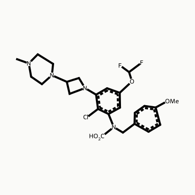 COc1ccc(CN(C(=O)O)c2cc(OC(F)F)cc(N3CC(N4CCN(C)CC4)C3)c2Cl)cc1